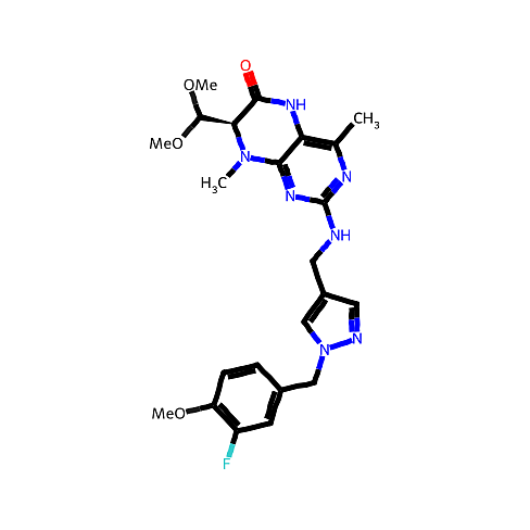 COc1ccc(Cn2cc(CNc3nc(C)c4c(n3)N(C)[C@@H](C(OC)OC)C(=O)N4)cn2)cc1F